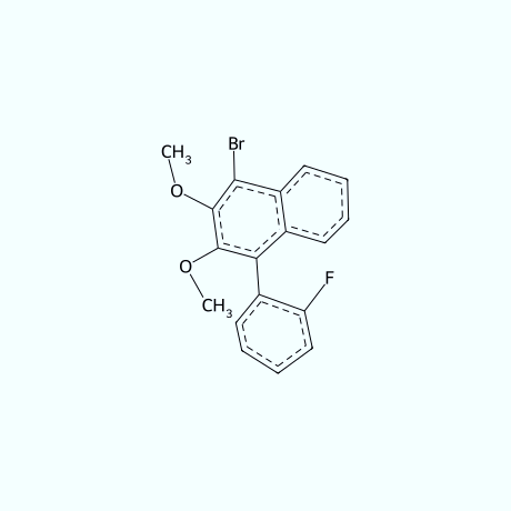 COc1c(OC)c(-c2ccccc2F)c2ccccc2c1Br